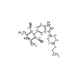 CCCN1CCN(c2n[nH]c3ccc(C4C(C#N)=C(C)NC(C)=C4C#N)cc23)CC1